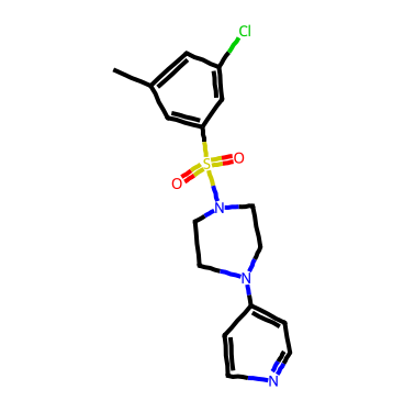 Cc1cc(Cl)cc(S(=O)(=O)N2CCN(c3ccncc3)CC2)c1